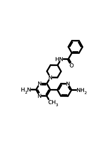 Cc1nc(N)nc(N2CCC(NC(=O)c3ccccc3)CC2)c1-c1ccc(N)nc1